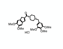 COc1cc2c(cc1OC)CC(C(=O)N1CCN(Cc3cc(OC)c(OC)c(OC)c3)CC1)=C2.Cl